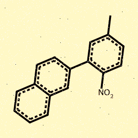 Cc1ccc([N+](=O)[O-])c(-c2ccc3ccccc3c2)c1